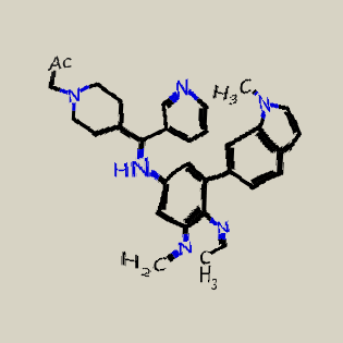 C=Nc1cc(NC(c2cccnc2)C2CCN(CC(C)=O)CC2)cc(-c2ccc3ccn(C)c3c2)c1/N=C\C